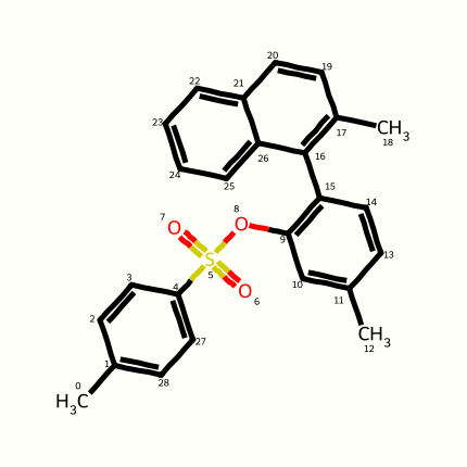 Cc1ccc(S(=O)(=O)Oc2cc(C)ccc2-c2c(C)ccc3ccccc23)cc1